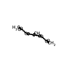 C=CC(=O)OCCCCCCOc1ccc(C#Cc2ccc(C#Cc3ccc(OCCCCCCOC(=O)C=C)cc3)c(C)c2)cc1